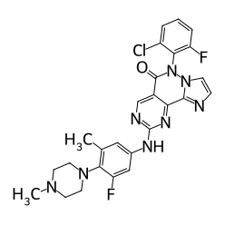 Cc1cc(Nc2ncc3c(=O)n(-c4c(F)cccc4Cl)n4ccnc4c3n2)cc(F)c1N1CCN(C)CC1